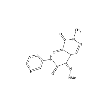 CN/N=C(\C(=O)Nc1cccnc1)C1C=NN(C)C(=O)C1=O